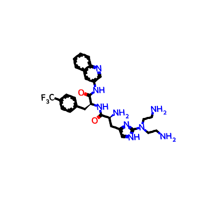 NCCN(CCN)c1nc(C[C@H](N)C(=O)N[C@@H](Cc2ccc(C(F)(F)F)cc2)C(=O)Nc2cnc3ccccc3c2)c[nH]1